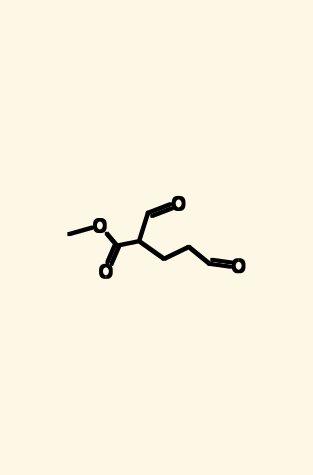 COC(=O)C(C=O)CCC=O